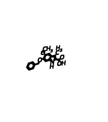 COc1cc2c(C)c(C(=O)O)[nH]c2cc1OCc1ccccc1